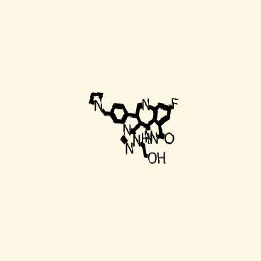 O=c1[nH]nc2c3c(cc(F)cc13)N=CC(c1ccc(CN3CCC3)cc1)C2c1ncnn1CCO